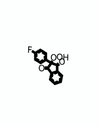 O=C1c2ccccc2C(=O)C1(OO)c1ccc(F)cc1